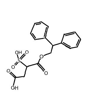 O=C(O)CC(C(=O)OCC(c1ccccc1)c1ccccc1)S(=O)(=O)O